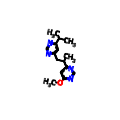 COc1cc(C(C)Cc2cc(C(C)C)ncn2)ncn1